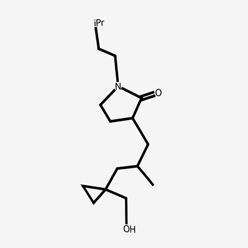 CC(C)CCN1CCC(CC(C)CC2(CO)CC2)C1=O